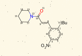 CC(C)(C)c1ccc([N+](=O)[O-])cc1/C=C/C(=O)N1CCCCC1